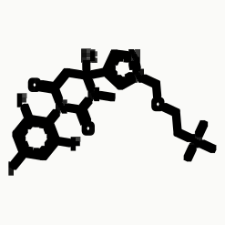 CCC1(c2cnn(COCC[Si](C)(C)C)c2)CC(=O)N(c2c(F)cc(I)cc2F)C(=O)N1C